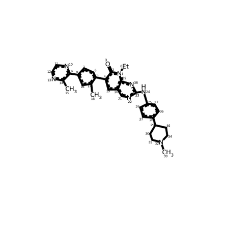 CCn1c(=O)c(-c2ccc(-c3nccnc3C)cc2C)cc2cnc(Nc3ccc(C4CCN(C)CC4)cc3)nc21